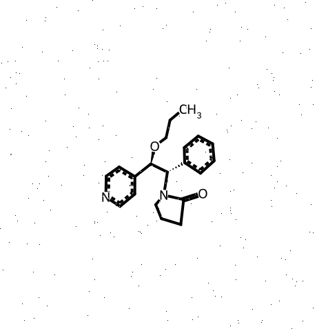 CCCO[C@H](c1ccncc1)[C@H](c1ccccc1)N1CCCC1=O